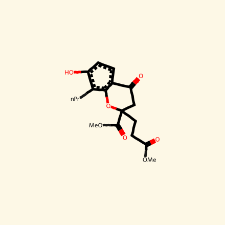 CCCc1c(O)ccc2c1OC(CCC(=O)OC)(C(=O)OC)CC2=O